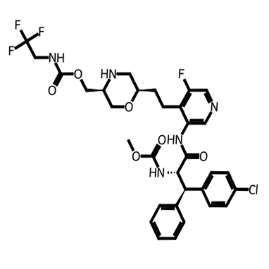 COC(=O)N[C@H](C(=O)Nc1cncc(F)c1CC[C@@H]1CN[C@H](COC(=O)NCC(F)(F)F)CO1)[C@H](c1ccccc1)c1ccc(Cl)cc1